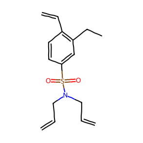 C=CCN(CC=C)S(=O)(=O)c1ccc(C=C)c(CC)c1